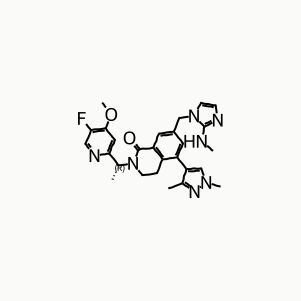 CNc1nccn1Cc1cc2c(c(-c3cn(C)nc3C)c1)CCN([C@H](C)c1cc(OC)c(F)cn1)C2=O